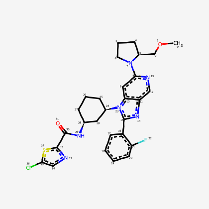 COC[C@@H]1CCCN1c1cc2c(cn1)nc(-c1ccccc1F)n2[C@@H]1CCC[C@H](NC(=O)c2ncc(Cl)s2)C1